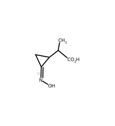 CC(C(=O)O)C1C/C1=N/O